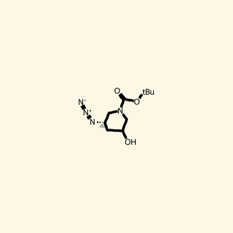 CC(C)(C)OC(=O)N1CC(O)C[C@H](N=[N+]=[N-])C1